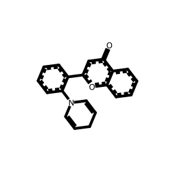 O=c1cc(-c2ccccc2N2C=CCC=C2)oc2ccccc12